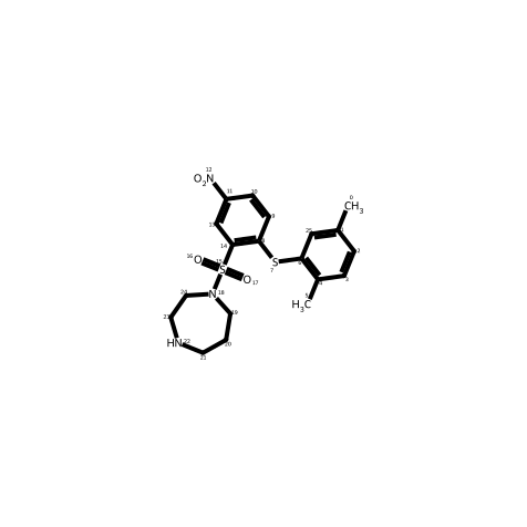 Cc1ccc(C)c(Sc2ccc([N+](=O)[O-])cc2S(=O)(=O)N2CCCNCC2)c1